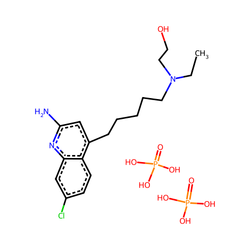 CCN(CCO)CCCCCc1cc(N)nc2cc(Cl)ccc12.O=P(O)(O)O.O=P(O)(O)O